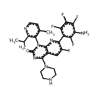 Cc1ccnc(C(C)C)c1-n1c(=O)nc(N2CCNCC2)c2cc(F)c(-c3c(F)c(N)c(F)c(F)c3F)nc21